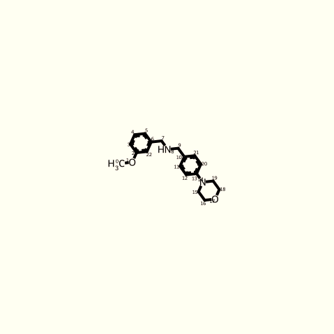 COc1cccc(CNCc2ccc(N3CCOCC3)cc2)c1